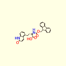 O=C(N[C@@H](CCc1cccc2[nH]c(=O)ccc12)C(=O)O)OCC1c2ccccc2-c2ccccc21